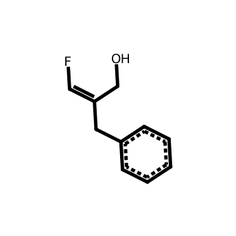 OC/C(=C\F)Cc1ccccc1